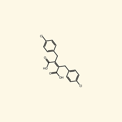 O=C(O)/C(Cc1ccc(Cl)cc1)=C(/Cc1ccc(Cl)cc1)C(=O)O